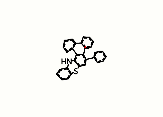 C=Cc1c(-c2ccccc2)cc2c(c1-c1ccccc1-c1ccccc1)Nc1ccccc1S2